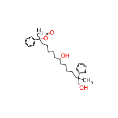 CC(CO)(CCCCCC(O)CCCCCC(C)(OC=O)c1ccccc1)c1ccccc1